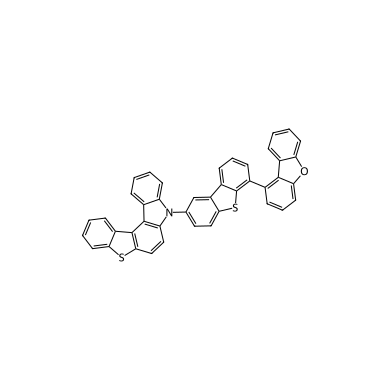 c1ccc2c(c1)oc1cccc(-c3cccc4c3sc3ccc(-n5c6ccccc6c6c7c(ccc65)sc5ccccc57)cc34)c12